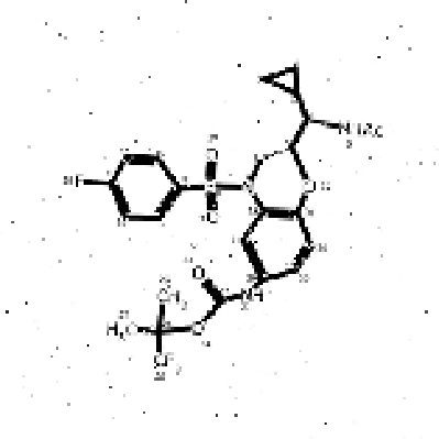 CC(=O)N[C@H](C1CC1)[C@H]1CN(S(=O)(=O)c2ccc(F)cc2)c2cc(NC(=O)OC(C)(C)C(F)(F)F)ccc2O1